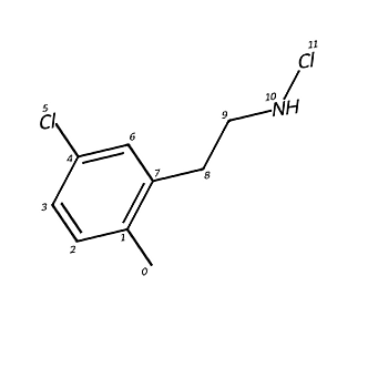 Cc1ccc(Cl)cc1CCNCl